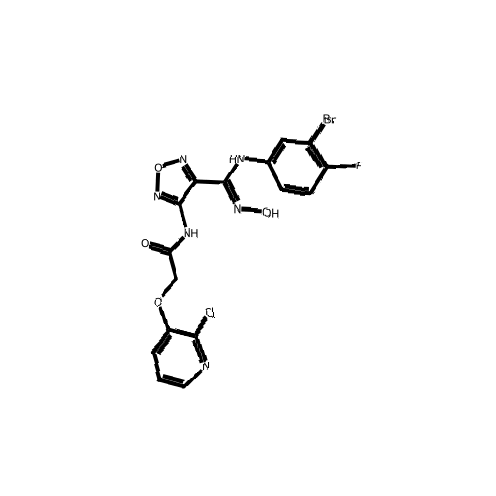 O=C(COc1cccnc1Cl)Nc1nonc1C(=NO)Nc1ccc(F)c(Br)c1